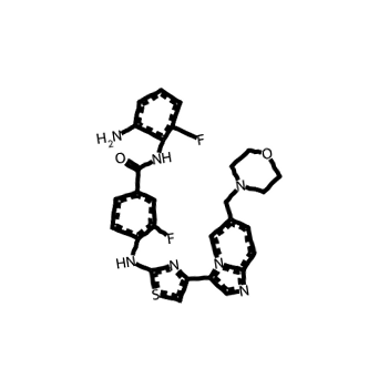 Nc1cccc(F)c1NC(=O)c1ccc(Nc2nc(-c3cnc4ccc(CN5CCOCC5)cn34)cs2)c(F)c1